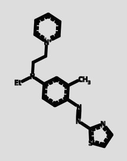 CCN(CC[n+]1ccccc1)c1ccc(N=Nc2nccs2)c(C)c1